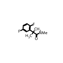 CNC(=O)C(C)(C)c1cc(F)ccc1F